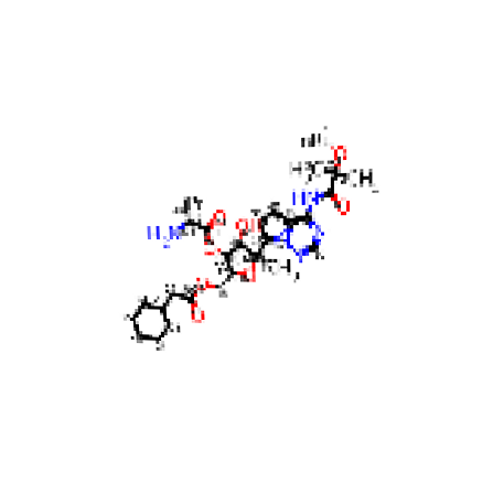 CCCCOC(C)(C)C(=O)Nc1ncnn2c([C@]3(C)O[C@H](COC(=O)CC4CCCCC4)[C@@H](OC(=O)[C@@H](N)C(C)C)[C@H]3O)ccc12